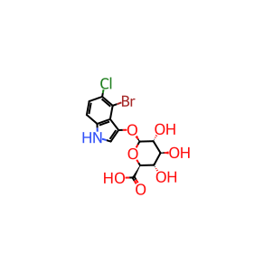 O=C(O)[C@H]1O[C@@H](Oc2c[nH]c3ccc(Cl)c(Br)c23)[C@H](O)[C@@H](O)[C@@H]1O